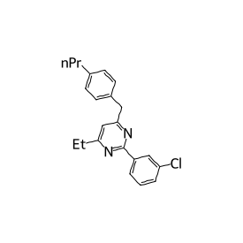 CCCc1ccc(Cc2cc(CC)nc(-c3cccc(Cl)c3)n2)cc1